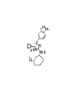 COC1CCCCC(NC2=N/C(=C\c3ccc4c(cnn4C)c3)C(=O)N2)C1